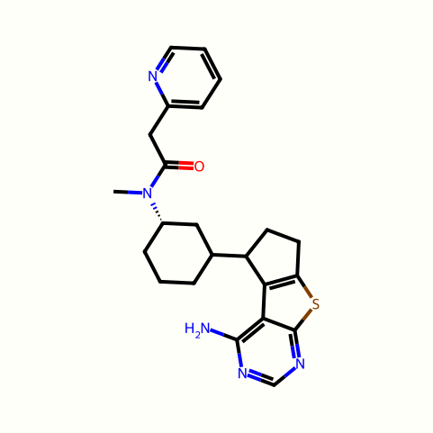 CN(C(=O)Cc1ccccn1)[C@H]1CCCC(C2CCc3sc4ncnc(N)c4c32)C1